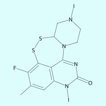 Cc1cc2c3c(nc(=O)n2I)N2CCN(I)CC2SSc3c1F